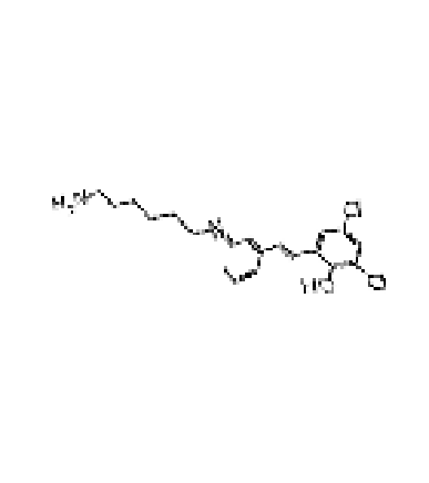 C\C=C/C(/C=C/c1cc(Cl)cc(Cl)c1O)=C\C=N\CCCCCCN